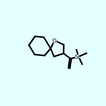 C=C(C1COC2(CCCCC2)C1)[Si](C)(C)C